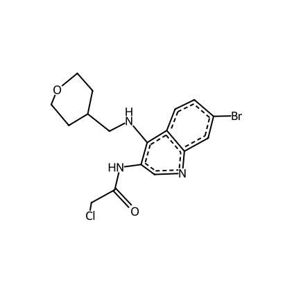 O=C(CCl)Nc1cnc2cc(Br)ccc2c1NCC1CCOCC1